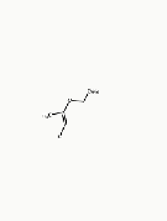 COCOC(C)=CCl